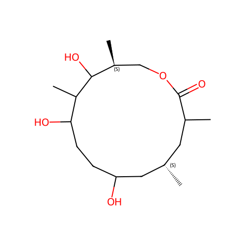 CC1C[C@H](C)CC(O)CCC(O)C(C)C(O)[C@@H](C)COC1=O